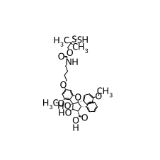 COc1ccc([C@@]23Oc4cc(OCCCCNC(=O)OCC(C)(C)SS)cc(OC)c4[C@]2(O)[C@H](O)[C@H](C(=O)O)[C@H]3c2ccccc2)cc1